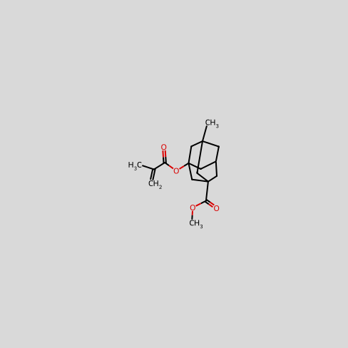 C=C(C)C(=O)OC12CC3CC(C)(C1)CC(C(=O)OC)(C3)C2